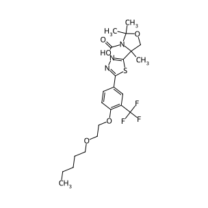 CCCCCOCCOc1ccc(-c2nnc(C3(C)COC(C)(C)N3C(=O)O)s2)cc1C(F)(F)F